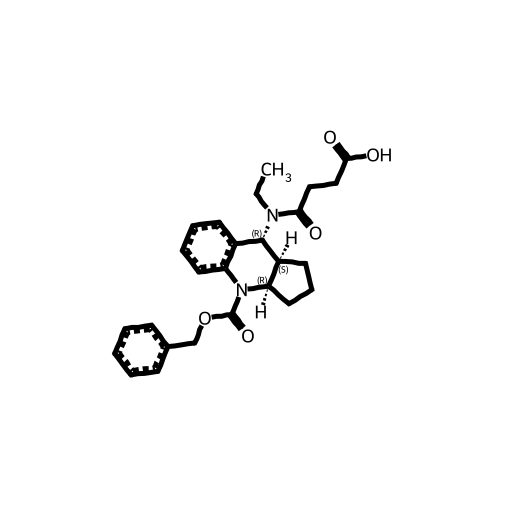 CCN(C(=O)CCC(=O)O)[C@H]1c2ccccc2N(C(=O)OCc2ccccc2)[C@@H]2CCC[C@@H]21